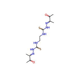 CC(=O)/C(C)=N/NC(=S)NCCNC(=S)N/N=C(\C)C(C)=O